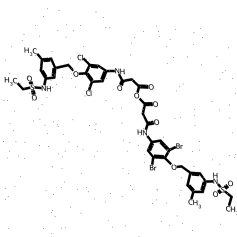 CCS(=O)(=O)Nc1cc(C)cc(COc2c(Cl)cc(NC(=O)CC(=O)OC(=O)CC(=O)Nc3cc(Br)c(OCc4cc(C)cc(NS(=O)(=O)CC)c4)c(Br)c3)cc2Cl)c1